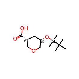 CC(C)(C)[Si](C)(C)O[C@@H]1COC[C@H](C(=O)O)C1